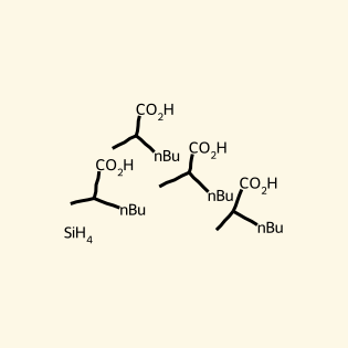 CCCCC(C)C(=O)O.CCCCC(C)C(=O)O.CCCCC(C)C(=O)O.CCCCC(C)C(=O)O.[SiH4]